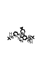 CC(C)(C)NSc1cccc(Nc2ncnc3cc(S(=O)(=O)NC(C)(C)C)cc(N4CCC5(CC4)CC5)c23)n1